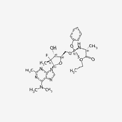 CCOC(=O)[C@@H](C)N[P@@](=S)(OC[C@H]1O[C@@H](n2cnc3c(N(C)C)nc(C)nc32)[C@](C)(F)[C@@H]1O)Oc1ccccc1